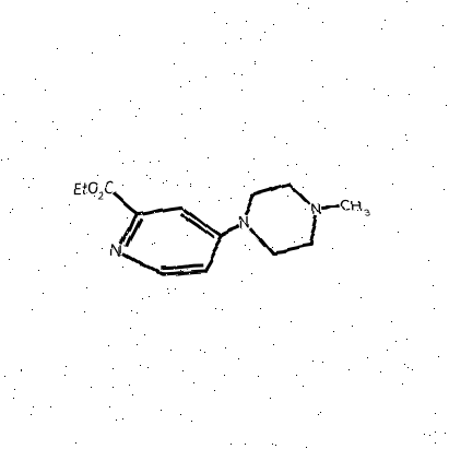 CCOC(=O)c1cc(N2CCN(C)CC2)ccn1